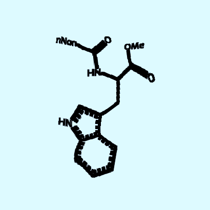 CCCCCCCCCC(=O)NC(Cc1c[nH]c2ccccc12)C(=O)OC